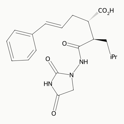 CC(C)C[C@@H](C(=O)NN1CC(=O)NC1=O)[C@H](CC=Cc1ccccc1)C(=O)O